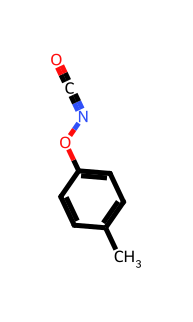 Cc1ccc(ON=C=O)cc1